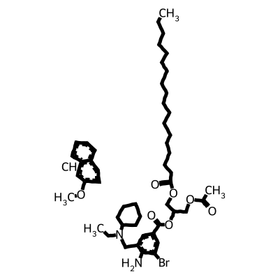 C.CCCCCCCCCCCCCCCCCC(=O)OCC(COC(C)=O)OC(=O)c1cc(Br)c(N)c(CN(CC)C2CCCCC2)c1.COc1ccc2ccccc2c1